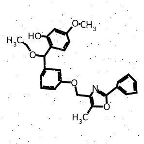 CCOC(c1cccc(OCc2nc(-c3ccccc3)oc2C)c1)c1ccc(OC)cc1O